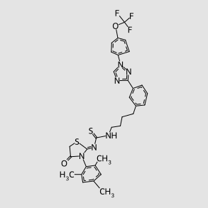 Cc1cc(C)c(N2C(=O)CS/C2=N\C(=S)NCCCCc2cccc(-c3ncn(-c4ccc(OC(F)(F)F)cc4)n3)c2)c(C)c1